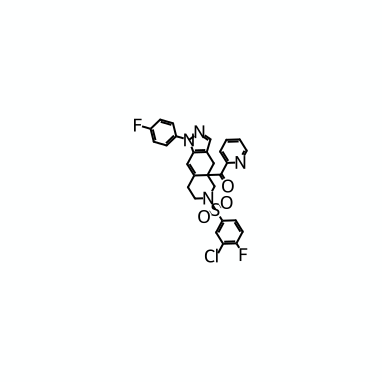 O=C(c1ccccn1)C12Cc3cnn(-c4ccc(F)cc4)c3C=C1CCN(S(=O)(=O)c1ccc(F)c(Cl)c1)C2